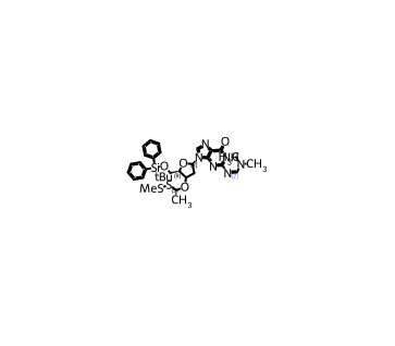 CSS[C@@H](C)OC1C[C@H](n2cnc3c(=O)[nH]c(/N=C\N(C)C)nc32)O[C@@H]1CO[Si](c1ccccc1)(c1ccccc1)C(C)(C)C